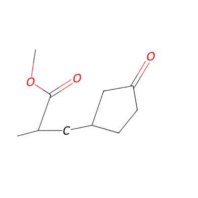 COC(=O)C(C)CC1CCC(=O)C1